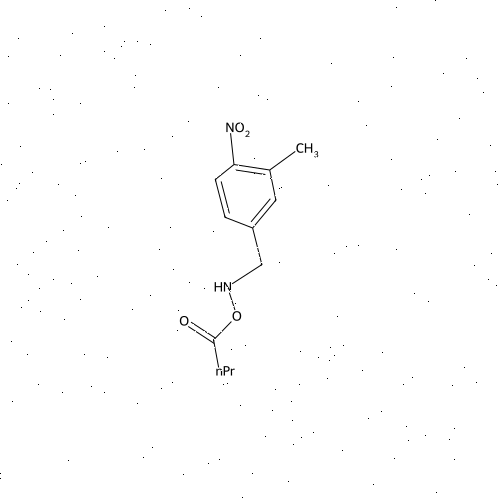 CCCC(=O)ONCc1ccc([N+](=O)[O-])c(C)c1